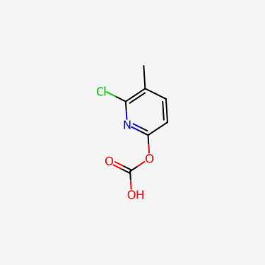 Cc1ccc(OC(=O)O)nc1Cl